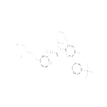 O=C(Nc1cc(OC[C@H](O)CO)ccn1)N1c2nc(-c3cccc(C(F)(F)F)c3)c(Cl)cc2N2CCC[C@H]1C2